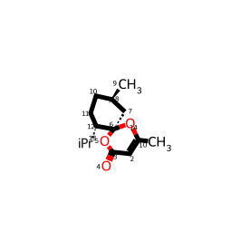 CC1=CC(=O)O[C@]2(C[C@H](C)CC[C@H]2C(C)C)O1